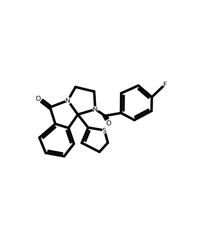 O=C(c1ccc(F)cc1)N1CCN2C(=O)c3ccccc3C12C1=CCCS1